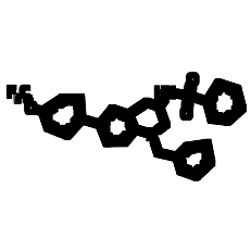 O=S(=O)(NC1Cc2cc(-c3ccc(OC(F)(F)F)cc3)ccc2N(Cc2ccccc2)C1)c1ccccc1